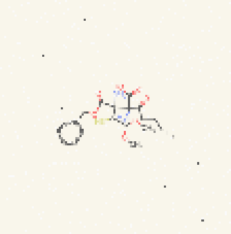 CCCC(=O)C(N)(C(=O)O)C(N)(C(=O)OCc1ccccc1)C(S)C(OC)OC